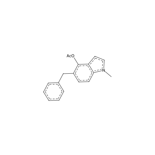 CC(=O)Oc1c(Cc2ccccc2)ccc2c1ccn2C